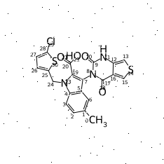 Cc1ccc2c(c1)c(-n1c(=O)[nH]c3cscc3c1=O)c(C(=O)O)n2Cc1ccc(Cl)s1